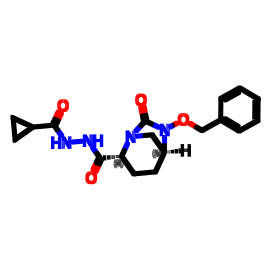 O=C(NNC(=O)[C@H]1CC[C@H]2CN1C(=O)N2OCc1ccccc1)C1CC1